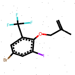 C=C(C)COc1c(I)cc(Br)cc1C(F)(F)F